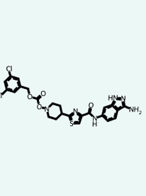 Nc1n[nH]c2cc(NC(=O)c3csc(C4CCN(OC(=O)OCc5cc(Cl)cc(Cl)c5)CC4)n3)ccc12